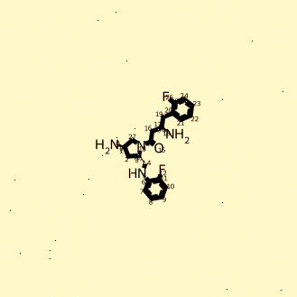 N[C@@H]1C[C@@H](CNc2ccccc2F)N(C(=O)C[C@H](N)Cc2ccccc2F)C1